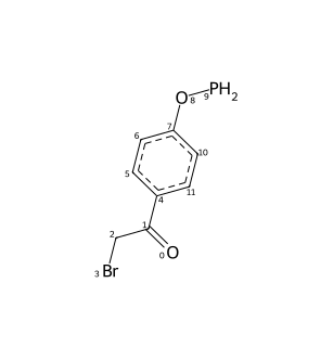 O=C(CBr)c1ccc(OP)cc1